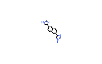 c1nc(-c2ccc3cc(-c4c[nH]cn4)ccc3c2)c[nH]1